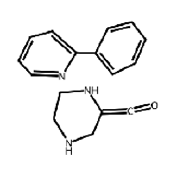 O=C=C1CNCCN1.c1ccc(-c2ccccn2)cc1